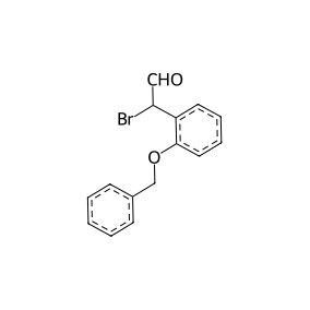 O=CC(Br)c1ccccc1OCc1ccccc1